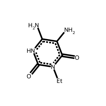 CCn1c(=O)[nH]c(N)c(N)c1=O